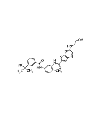 Cc1ccc(NC(=O)c2cccc(C(C)(C)C#N)c2)cc1NC(=O)c1cc2ncc(NCCO)nc2s1